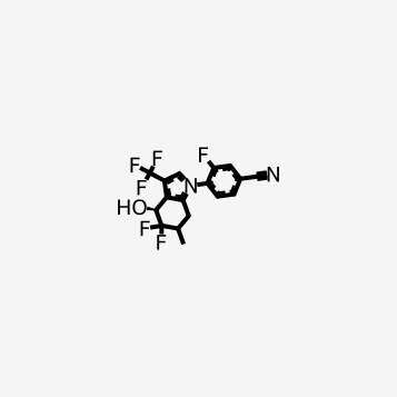 CC1Cc2c(c(C(F)(F)F)cn2-c2ccc(C#N)cc2F)[C@H](O)C1(F)F